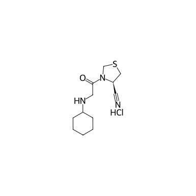 Cl.N#C[C@@H]1CSCN1C(=O)CNC1CCCCC1